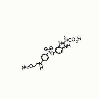 COCCNc1ccc(S(=O)(=O)Oc2ccc3[nH]c(N(C)C(=O)O)nc3c2)cc1